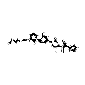 COCCOCOc1cccn(-c2ccc(N(C[C@@H](C)CNC(=O)c3ccc(Cl)s3)C(C)=O)cc2C)c1=O